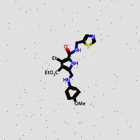 CCOC(=O)c1c(CNc2ccc(OC)cc2)[nH]c(C(=O)NCc2cncs2)c1CC